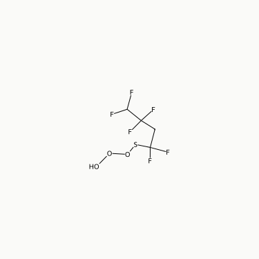 OOOSC(F)(F)CC(F)(F)C(F)F